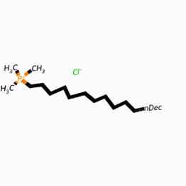 CCCCCCCCCCCCCCCCCCCCC[P+](C)(C)C.[Cl-]